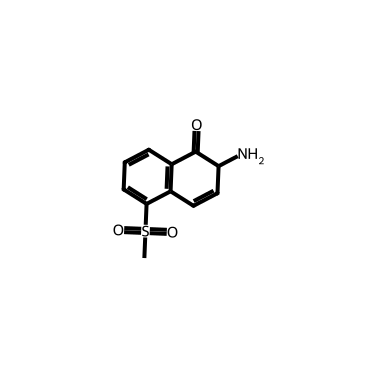 CS(=O)(=O)c1cccc2c1C=CC(N)C2=O